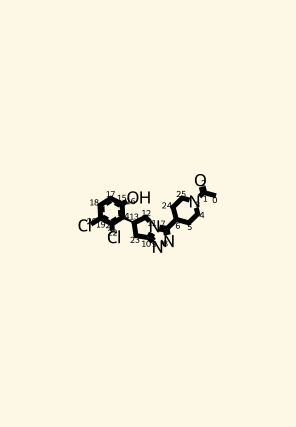 CC(=O)N1CCC(c2nnc3n2C[C@H](c2c(O)ccc(Cl)c2Cl)C3)CC1